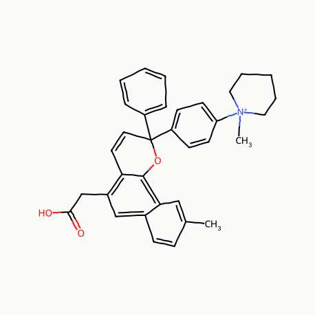 Cc1ccc2cc(CC(=O)O)c3c(c2c1)OC(c1ccccc1)(c1ccc([N+]2(C)CCCCC2)cc1)C=C3